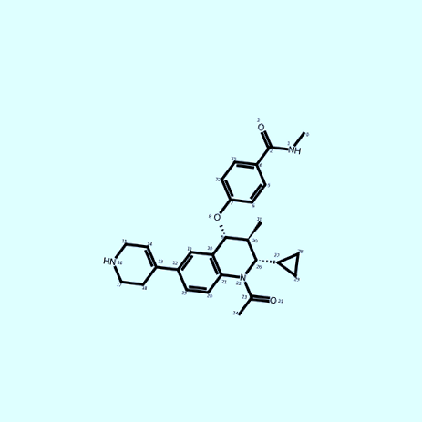 CNC(=O)c1ccc(O[C@H]2c3cc(C4=CCNCC4)ccc3N(C(C)=O)[C@@H](C3CC3)[C@@H]2C)cc1